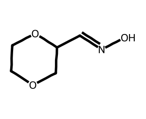 ON=CC1COCCO1